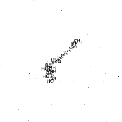 CN1CCN(CCCCCCCCCCC(=O)NCCCC[C@H](NC(=O)N[C@@H](CCC(=O)O)C(=O)O)C(=O)O)CC1